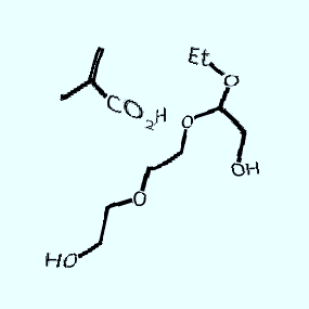 C=C(C)C(=O)O.CCOC(CO)OCCOCCO